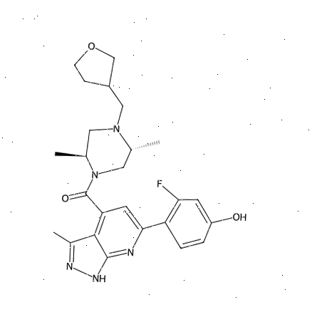 Cc1n[nH]c2nc(-c3ccc(O)cc3F)cc(C(=O)N3C[C@@H](C)N(CC4CCOC4)C[C@@H]3C)c12